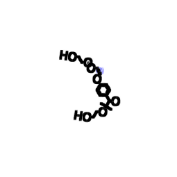 CC(C)(OCCO)C(=O)c1ccc(O/C=C\OOCCO)cc1